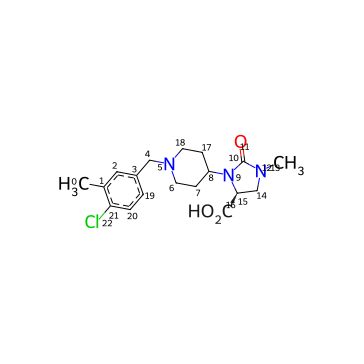 Cc1cc(CN2CCC(N3C(=O)N(C)C[C@H]3C(=O)O)CC2)ccc1Cl